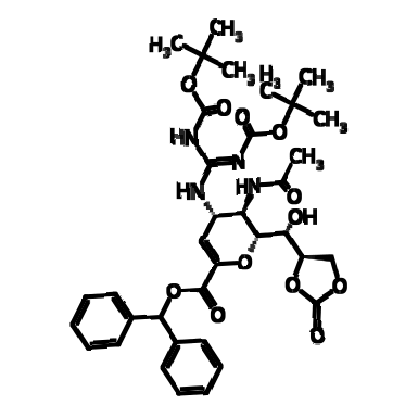 CC(=O)N[C@H]1[C@H]([C@H](O)[C@H]2COC(=O)O2)OC(C(=O)OC(c2ccccc2)c2ccccc2)=C[C@@H]1NC(=NC(=O)OC(C)(C)C)NC(=O)OC(C)(C)C